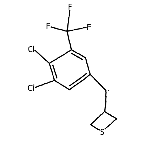 FC(F)(F)c1cc([CH]C2CSC2)cc(Cl)c1Cl